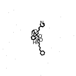 O=C(NCCCCC1CCCCC1)OC(=O)C(CCC=Cc1cccnc1)(c1ccccc1)c1ncco1